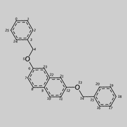 c1ccc(COc2ccc3ccc(OCc4ccccc4)cc3c2)cc1